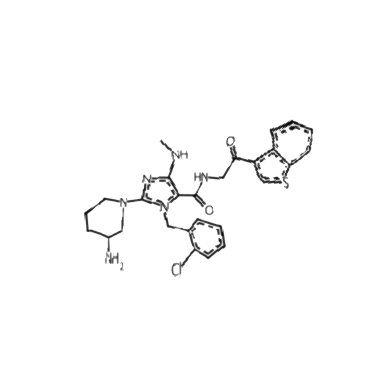 CNc1nc(N2CCCC(N)C2)n(Cc2ccccc2Cl)c1C(=O)NCC(=O)c1csc2ccccc12